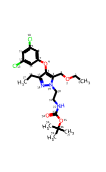 CCOCc1c(Oc2cc(Cl)cc(Cl)c2)c(CC)nn1CCNC(=O)OC(C)(C)C